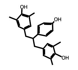 Cc1cc(CC(Cc2cc(C)c(O)c(C)c2)c2ccc(O)cc2)cc(C)c1O